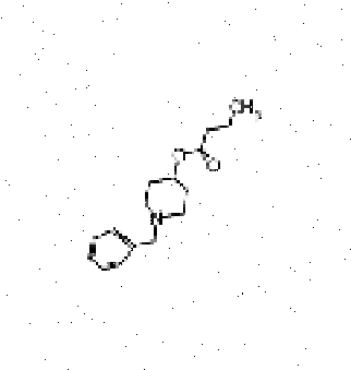 CCCC(=O)OC1CCN(Cc2ccccc2)CC1